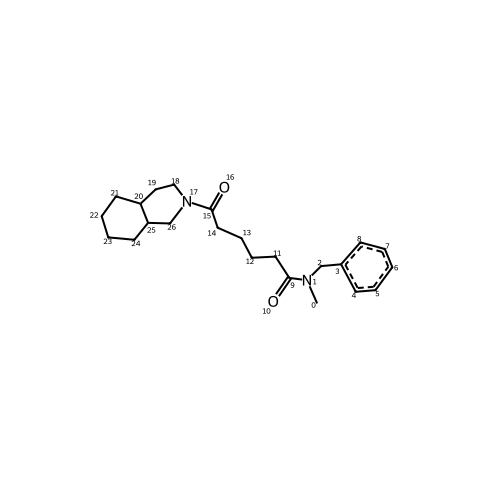 CN(Cc1ccccc1)C(=O)CCCCC(=O)N1CCC2CCCCC2C1